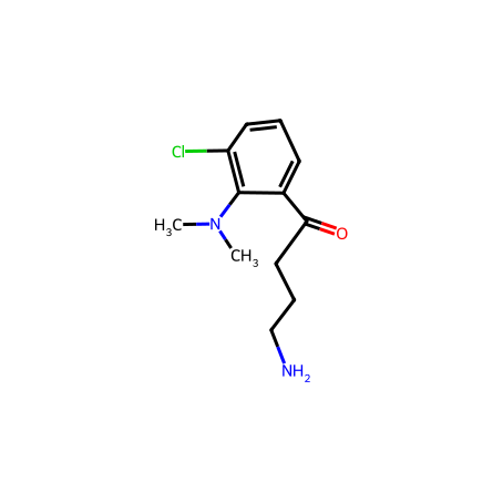 CN(C)c1c(Cl)cccc1C(=O)CCCN